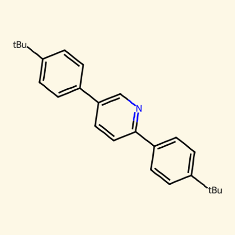 CC(C)(C)c1ccc(-c2ccc(-c3ccc(C(C)(C)C)cc3)nc2)cc1